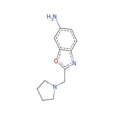 Nc1ccc2nc(CN3CCCC3)oc2c1